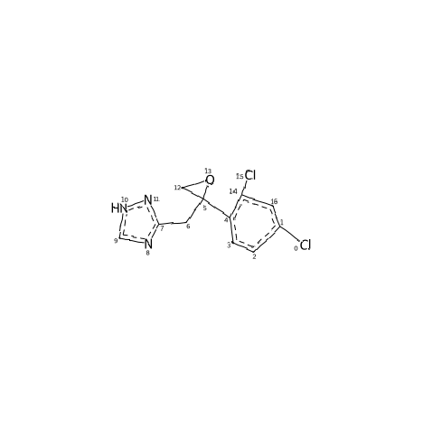 Clc1ccc(C2(Cc3nc[nH]n3)CO2)c(Cl)c1